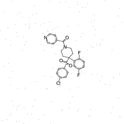 O=C(c1ccncc1)N1CCC(c2cc(F)ccc2F)(S(=O)(=O)c2ccc(Cl)cc2)CC1